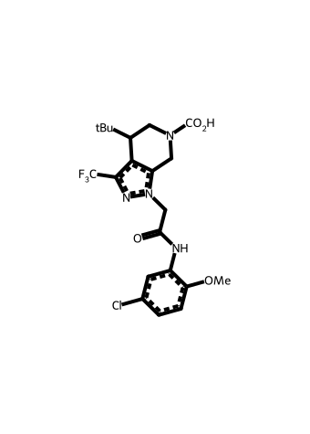 COc1ccc(Cl)cc1NC(=O)Cn1nc(C(F)(F)F)c2c1CN(C(=O)O)CC2C(C)(C)C